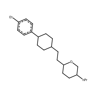 CCCC1CCC(CCC2CCC(c3ccc(CC)cc3)CC2)OC1